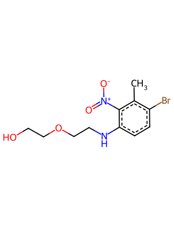 Cc1c(Br)ccc(NCCOCCO)c1[N+](=O)[O-]